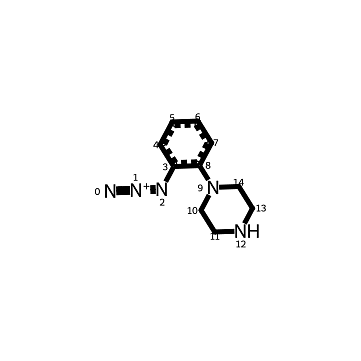 [N-]=[N+]=Nc1ccccc1N1CCNCC1